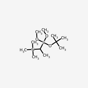 CO[Si](OC)(OC(C)(C)C)C(C)[Si](C)(C)C